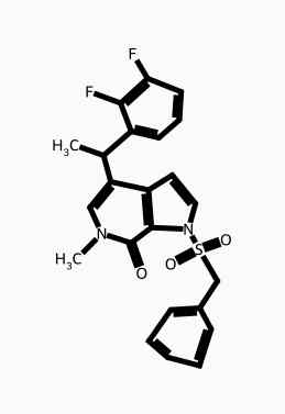 CC(c1cccc(F)c1F)c1cn(C)c(=O)c2c1ccn2S(=O)(=O)Cc1ccccc1